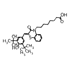 CC(C)(C)c1cc(C=C2Sc3ccccc3N(CCCCCCCC(=O)O)C2=O)cc(C(C)(C)C)c1O